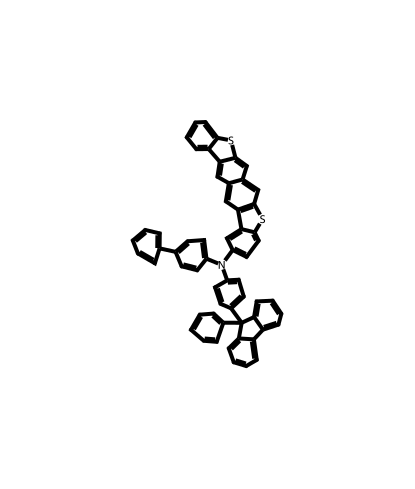 c1ccc(-c2ccc(N(c3ccc(C4(c5ccccc5)c5ccccc5-c5ccccc54)cc3)c3ccc4sc5cc6cc7sc8ccccc8c7cc6cc5c4c3)cc2)cc1